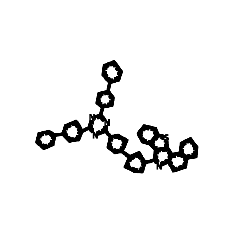 c1ccc(-c2ccc(-c3nc(-c4ccc(-c5ccccc5)cc4)nc(-c4ccc(-c5cccc(-c6nc7ccc8ccccc8c7c7sc8ccccc8c67)c5)cc4)n3)cc2)cc1